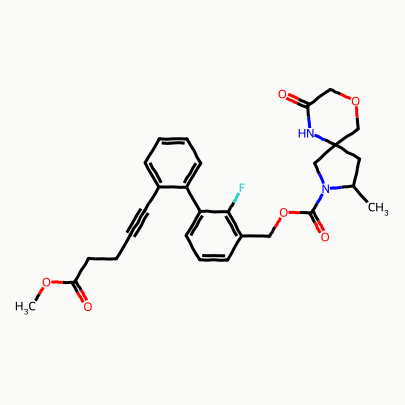 COC(=O)CCC#Cc1ccccc1-c1cccc(COC(=O)N2CC3(COCC(=O)N3)CC2C)c1F